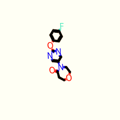 O=C1CCOCCN1c1cnc(Oc2ccc(F)cc2)nc1